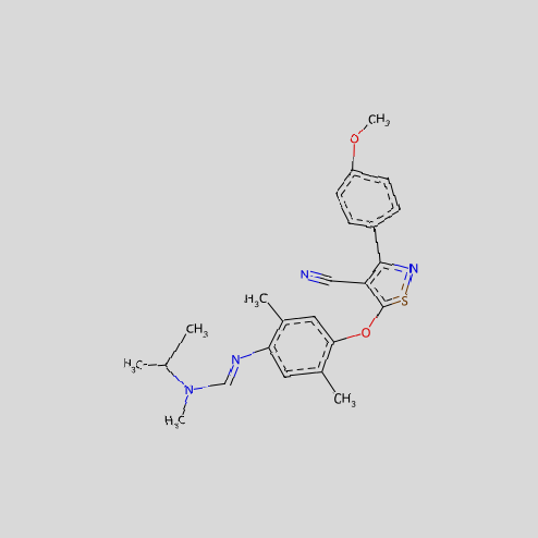 COc1ccc(-c2nsc(Oc3cc(C)c(N=CN(C)C(C)C)cc3C)c2C#N)cc1